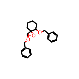 OC1(COCc2ccccc2)CCCCC1OCc1ccccc1